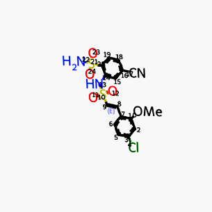 COc1cc(Cl)ccc1/C=C/S(=O)(=O)Nc1cc(C#N)ccc1S(N)(=O)=O